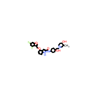 C[C@H]1CN(CCC2(O)CCC(NC(=O)c3cc4c(OCc5coc6cc(F)cc(F)c56)cccc4[nH]3)CC2)CC[C@@H]1O